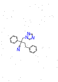 N#CC(CCc1ccccc1)(Cn1cncn1)c1ccccc1